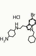 Cl.NC1CCC(NCCc2cn(CC3CCCCC3)c3ccc(Br)cc23)CC1